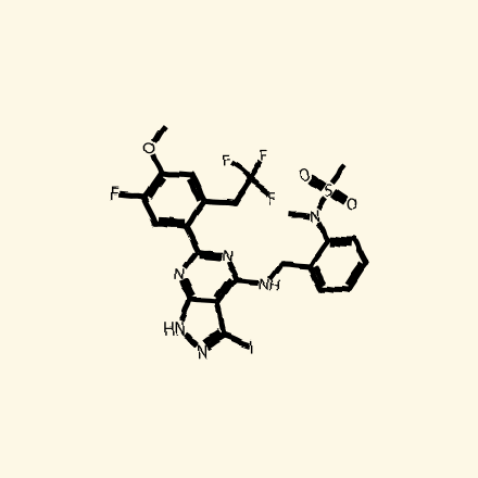 COc1cc(CC(F)(F)F)c(-c2nc(NCc3ccccc3N(C)S(C)(=O)=O)c3c(I)n[nH]c3n2)cc1F